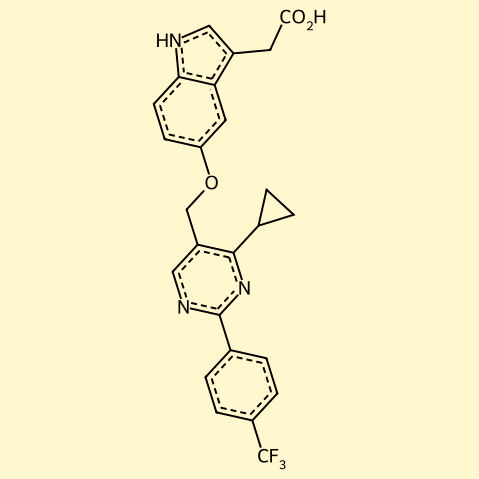 O=C(O)Cc1c[nH]c2ccc(OCc3cnc(-c4ccc(C(F)(F)F)cc4)nc3C3CC3)cc12